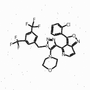 FC(F)(F)c1cc(Cn2nnc(-c3nccc4noc(-c5ccccc5Cl)c34)c2N2CCOCC2)cc(C(F)(F)F)c1